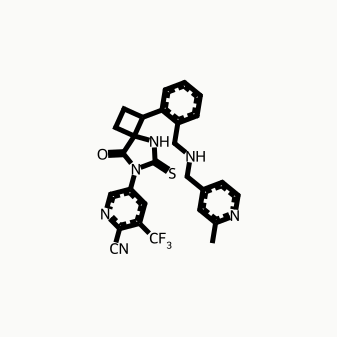 Cc1cc(CNCc2ccccc2C2CCC23NC(=S)N(c2cnc(C#N)c(C(F)(F)F)c2)C3=O)ccn1